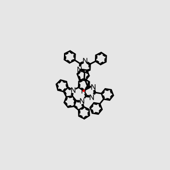 c1ccc(-c2cc(-c3cccc(-n4c5ccccc5c5ccc6c7ccccc7n(-c7nc(-c8ccccc8)nc(-c8ccccc8-c8ccccc8)n7)c6c54)c3)nc(-c3ccccc3)n2)cc1